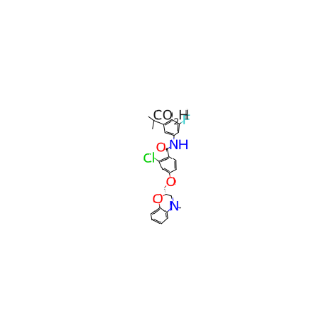 CN1C[C@@H](COc2ccc(C(=O)Nc3cc(F)cc(C(C)(C)C(=O)O)c3)c(Cl)c2)Oc2ccccc21